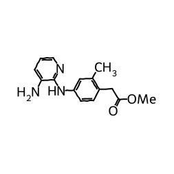 COC(=O)Cc1ccc(Nc2ncccc2N)cc1C